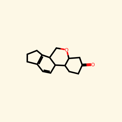 O=C1CCC2C(C1)OCC1C3=C(C=CC12)CCC3